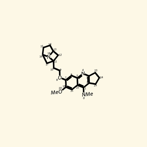 CNc1c2c(nc3cc(OCCC45CC6CCC(C4)N65)c(OC)cc13)CCC2